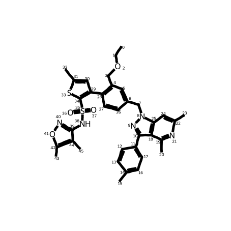 CCOCc1cc(Cn2nc(-c3ccc(C)cc3)c3c(C)nc(C)cc32)ccc1-c1cc(C)sc1S(=O)(=O)Nc1noc(C)c1C